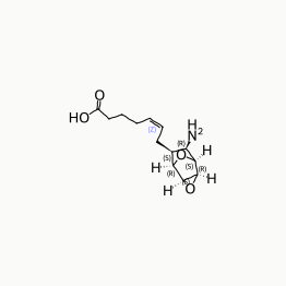 N[C@@H]1[C@H](C/C=C\CCCC(=O)O)[C@H]2O[C@@H]1[C@H]1O[C@H]12